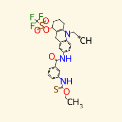 C#CCN1C2=C(Cc3cc(NC(=O)c4cccc(NC(=S)OCC)c4)ccc31)C(OS(=O)(=O)C(F)(F)F)CCC2